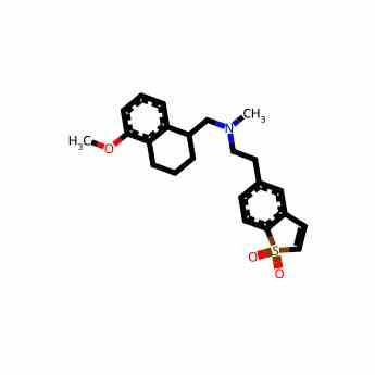 COc1cccc2c1CCCC2CN(C)CCc1ccc2c(c1)C=CS2(=O)=O